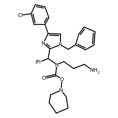 CC(C)C(c1nc(-c2cccc(Cl)c2)cn1Cc1ccccc1)N(CCCN)C(=O)ON1CCCCC1